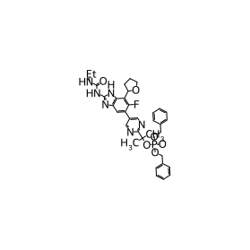 CCNC(=O)Nc1nc2cc(-c3cnc(C(C)(C)OP(=O)(OCc4ccccc4)OCc4ccccc4)nc3)c(F)c(C3CCCO3)c2[nH]1